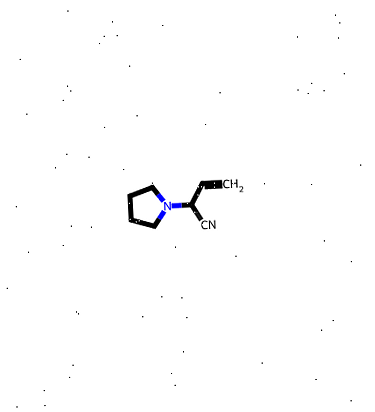 C=CC(C#N)N1CCCC1